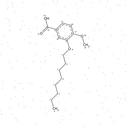 CCCCCCCCOc1cc(C(=O)O)ccc1OC